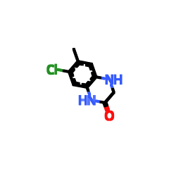 Cc1cc2c(cc1Cl)NC(=O)CN2